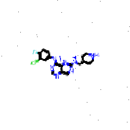 Fc1ccc(Nc2ncnc3cnc(NCC4CCNCC4)nc23)cc1Cl